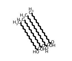 CCCCCCCCCCCCCCCCCC(=O)O.CCCCCCCCCCCCCCCCCC(=O)O.CCCCCCCCCCCCCCCCCCCC(=O)O.CCCCCCCCCCCCCCCCCCCC(=O)O